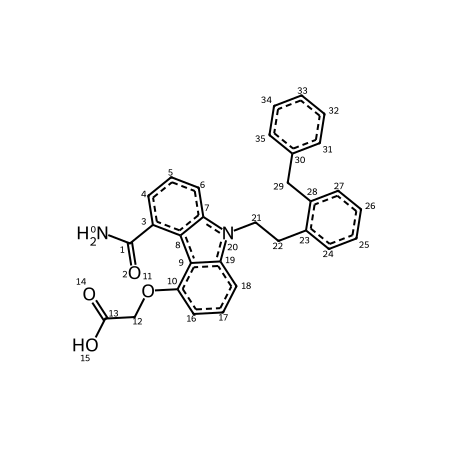 NC(=O)c1cccc2c1c1c(OCC(=O)O)cccc1n2CCc1ccccc1Cc1ccccc1